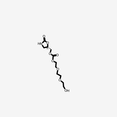 O=C1NC[C@@H](COC(=O)OCCOCCOCCO)O1